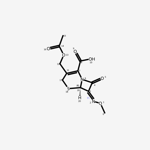 CO/N=C1\C(=O)N2C(C(=O)O)=C(COC(C)=O)CS[C@H]12